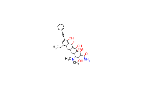 CCc1cc(C#CC2=CCCCC2)c(O)c2c1CC1CC3C(N(C)C)C(O)=C(C(N)=O)C(=O)C3(O)C(O)=C1C2=O